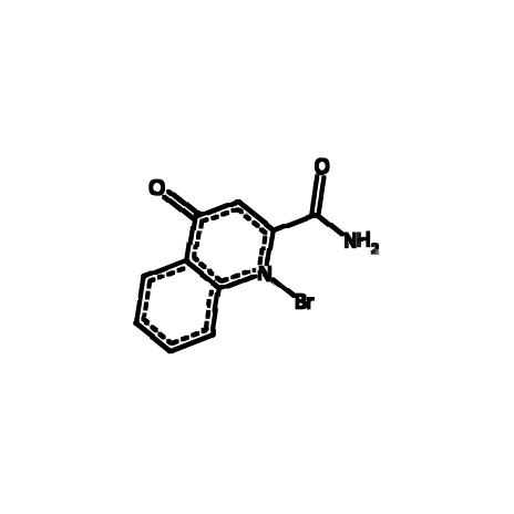 NC(=O)c1cc(=O)c2ccccc2n1Br